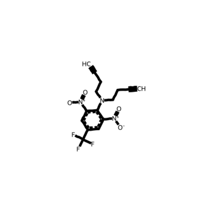 C#CCCN(CCC#C)c1c([N+](=O)[O-])cc(C(F)(F)F)cc1[N+](=O)[O-]